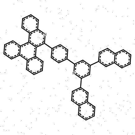 c1ccc2cc(-c3cc(-c4ccc(-c5nc6ccccc6c6c7ccccc7c7ccccc7c56)cc4)nc(-c4ccc5ccccc5c4)c3)ccc2c1